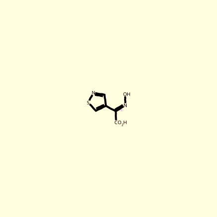 O=C(O)/C(=N/O)c1cnsc1